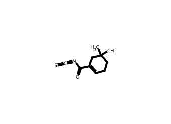 CC1(C)CCC=C(C(=O)N=C=S)C1